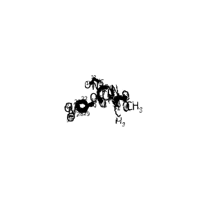 COC(=O)c1nn(CC2(C)SC3CC(=O)N3C2C(=O)OCc2ccc([N+](=O)[O-])cc2)nc1C